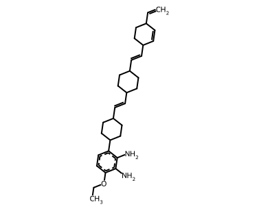 C=CC1C=CC(/C=C/C2CCC(/C=C/C3CCC(c4ccc(OCC)c(N)c4N)CC3)CC2)CC1